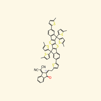 Cc1ccc(-c2ccc3c(c2)C(c2ccc(C)s2)(c2ccc(C)s2)c2c-3sc3c4c(sc23)-c2ccc(-c3ccc(C/C=C5\C(=O)c6ccccc6C5=C(C#N)C#N)s3)cc2C4(c2ccc(C)s2)c2ccc(C)s2)s1